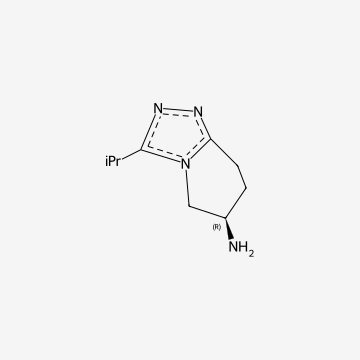 CC(C)c1nnc2n1C[C@H](N)CC2